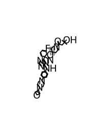 CC(C)(O)CC(=O)N1CC[C@H](OC2C=CC=CC2(C#N)c2ncnc(Nc3ccc(N4CCN(C5COC5)CC4)cc3)n2)[C@H](F)C1